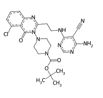 CC(C)(C)OC(=O)N1CCN(n2c(CCNc3ncnc(N)c3C#N)nc3cccc(Cl)c3c2=O)CC1